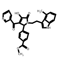 COC(=O)c1ccc(C2C(C(=O)c3cccnc3)=C(O)C(=O)N2CCc2c[nH]c3cccc(C)c23)cc1